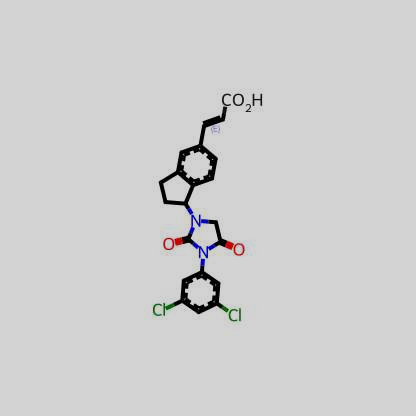 O=C(O)/C=C/c1ccc2c(c1)CCC2N1CC(=O)N(c2cc(Cl)cc(Cl)c2)C1=O